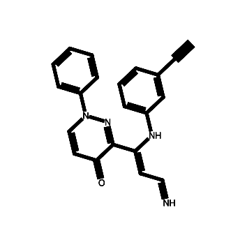 C#Cc1cccc(N/C(=C\C=N)c2nn(-c3ccccc3)ccc2=O)c1